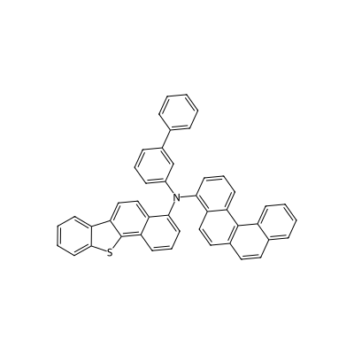 c1ccc(-c2cccc(N(c3cccc4c3ccc3c5ccccc5sc43)c3cccc4c3ccc3ccc5ccccc5c34)c2)cc1